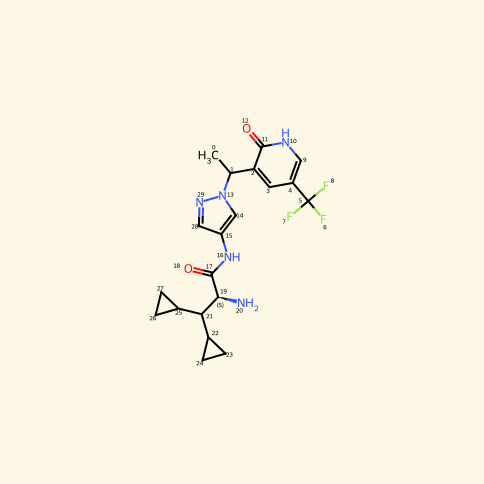 CC(c1cc(C(F)(F)F)c[nH]c1=O)n1cc(NC(=O)[C@@H](N)C(C2CC2)C2CC2)cn1